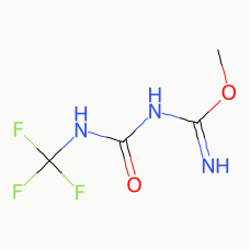 COC(=N)NC(=O)NC(F)(F)F